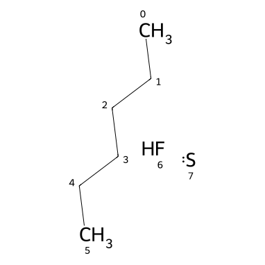 CCCCCC.F.[S]